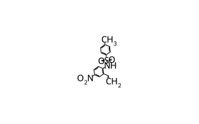 C=Cc1cc([N+](=O)[O-])ccc1NS(=O)(=O)c1ccc(C)cc1